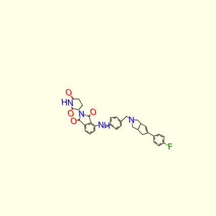 O=C1CCC(N2C(=O)c3cccc(NCc4ccc(CN5CC6C=C(c7ccc(F)cc7)CC6C5)cc4)c3C2=O)C(=O)N1